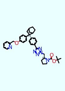 CC(C)(C)OC(=O)N1CCC[C@H]1Cn1nnc(-c2ccc([C@]3(c4ccc(OCc5ccccn5)cc4)CC4CCC3C4)cc2)n1